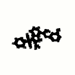 CN(Cc1cccc(Cl)c1)c1ncnc2c(S(=O)(=O)c3ccccc3)c(N)[nH]c12